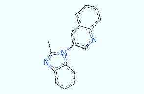 Cc1nc2ccccc2n1-c1cnc2ccccc2c1